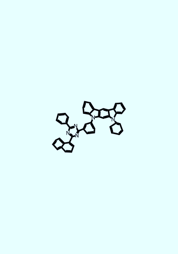 c1ccc(-c2nc(-c3cccc(-n4c5ccccc5c5cc6c7ccccc7n(-c7ccccc7)c6cc54)c3)nc(-c3cccc4ccccc34)n2)cc1